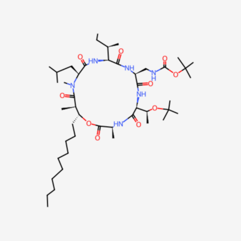 CCCCCCCCCC[C@H]1OC(=O)[C@H](C)NC(=O)[C@H]([C@H](C)OC(C)(C)C)NC(=O)[C@H](CNC(=O)OC(C)(C)C)NC(=O)[C@H]([C@H](C)CC)NC(=O)[C@H](CC(C)C)N(C)C(=O)[C@@H]1C